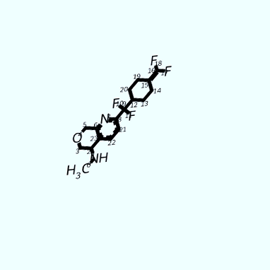 CNC1COCc2nc(C(F)(F)C3CCC(=C(F)F)CC3)ccc21